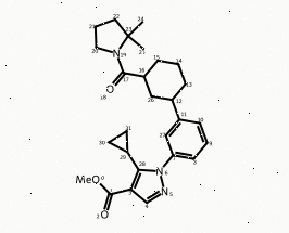 COC(=O)c1cnn(-c2cccc(C3CCCC(C(=O)N4CCCC4(C)C)C3)c2)c1C1CC1